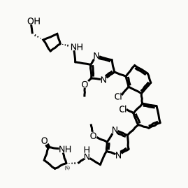 COc1nc(-c2cccc(-c3cccc(-c4cnc(CN[C@H]5C[C@@H](CO)C5)c(OC)n4)c3Cl)c2Cl)cnc1CNC[C@@H]1CCC(=O)N1